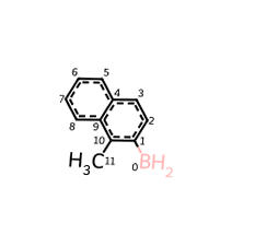 Bc1ccc2ccccc2c1C